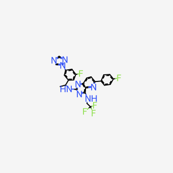 CC(Nc1nc(NCC(F)(F)F)c2nc(-c3ccc(F)cc3)ccc2n1)c1cc(F)cc(-n2cncn2)c1